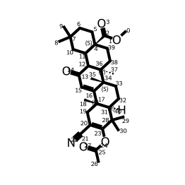 COC(=O)[C@]12CCC(C)(C)CC1C1C(=O)C=C3[C@@]4(C)CC(C#N)=C(OC(C)=O)C(C)(C)[C@@H]4CC[C@@]3(C)[C@]1(C)CC2